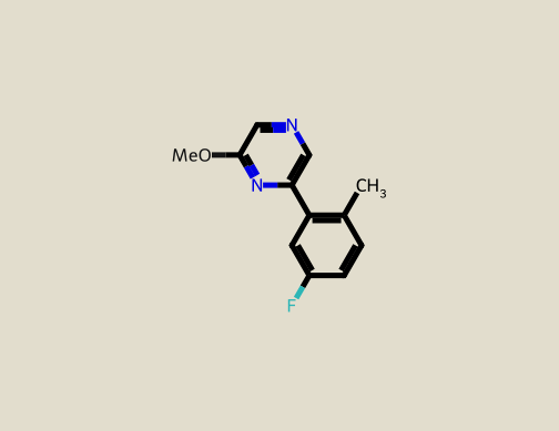 COc1cncc(-c2cc(F)ccc2C)n1